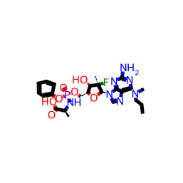 CCCN(C)c1nc(N)nc2c1ncn2[C@@H]1O[C@H](COP(=O)(N[C@@H](C)C(=O)O)Oc2ccccc2)[C@@H](O)[C@@]1(C)F